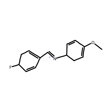 COC1=CCC(/N=C/C2=CCC(F)C=C2)C=C1